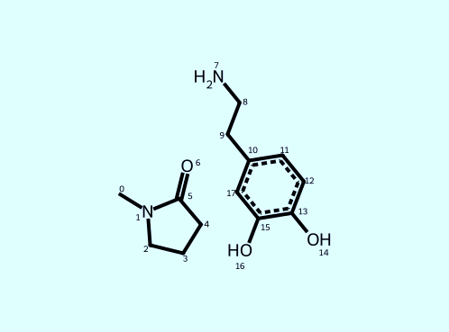 CN1CCCC1=O.NCCc1ccc(O)c(O)c1